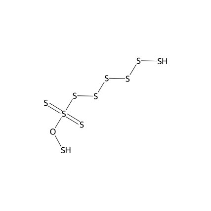 S=S(=S)(OS)SSSSSS